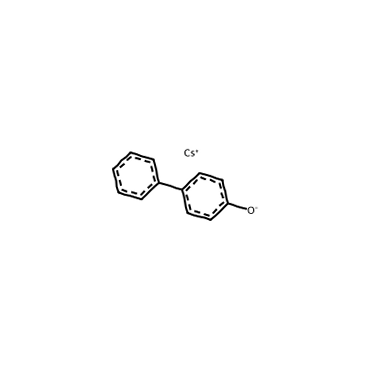 [Cs+].[O-]c1ccc(-c2ccccc2)cc1